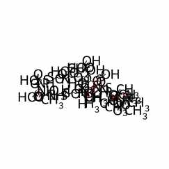 CCCC(=O)OCC(C(=O)[C@@H](NC(=O)[C@H]1CCCCN1C)C(C)CC)[C@H](C[C@@H](OC(C)=O)c1nc(C(=O)N[C@@H](Cc2ccc(O)cc2)C[C@H](C)C(=O)NNC(=O)OCCSSCCC(=O)NC[C@H](C)C(=O)N[C@@H](CC(=O)O)C(=O)N[C@@H](CSSCCOC(=O)NC2CC(O[C@H]3C[C@](O)(C(=O)CO)C(O)c4cc5c(c(O)c43)C(=O)c3c(OC)cccc3C5=O)OC(C)C2O)C(=O)O)cs1)C(C)C